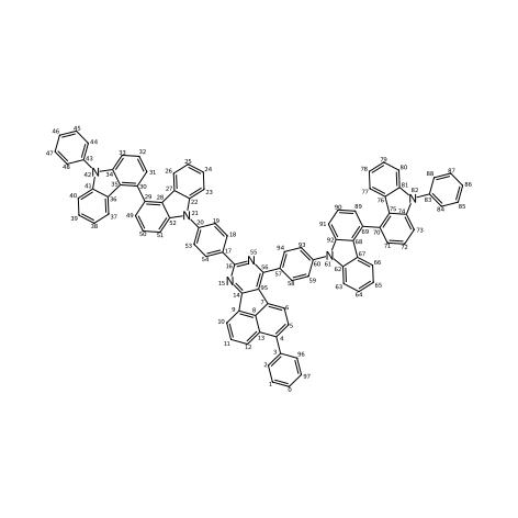 c1ccc(-c2ccc3c4c(cccc24)-c2nc(-c4ccc(-n5c6ccccc6c6c(-c7cccc8c7c7ccccc7n8-c7ccccc7)cccc65)cc4)nc(-c4ccc(-n5c6ccccc6c6c(-c7cccc8c7c7ccccc7n8-c7ccccc7)cccc65)cc4)c2-3)cc1